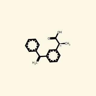 C=C(c1ccccc1)c1cccc([C@H](C)C(=O)O)c1